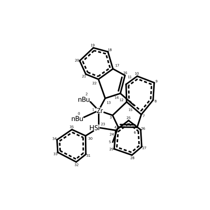 CCC[CH2][Zr]([CH2]CCC)([CH]1C(C)=Cc2ccccc21)([CH]1C(C)=Cc2ccccc21)[SiH](c1ccccc1)c1ccccc1